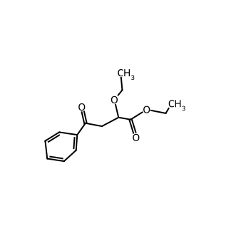 CCOC(=O)C(CC(=O)c1ccccc1)OCC